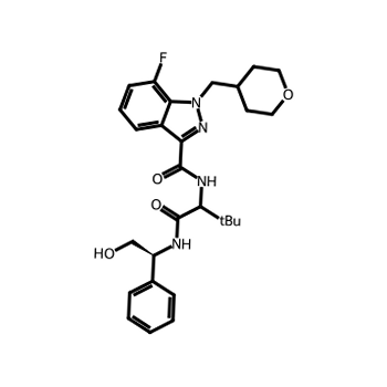 CC(C)(C)C(NC(=O)c1nn(CC2CCOCC2)c2c(F)cccc12)C(=O)N[C@H](CO)c1ccccc1